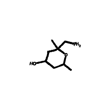 CC1CC(O)CC(C)(CP)O1